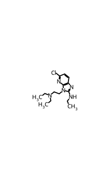 CCNc1nc2ccc(Cl)nc2n1CCN(CC)CC